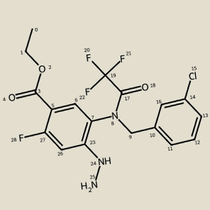 CCOC(=O)c1cc(N(Cc2cccc(Cl)c2)C(=O)C(F)(F)F)c(NN)cc1F